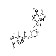 COC(=O)C(NC(=O)NCc1cccc(CNC(=O)NC(C(=O)OC)C(C)C)c1)C(C)C